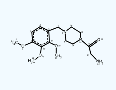 COc1ccc(CN2CCN(C(=O)CN)CC2)c(OC)c1OC